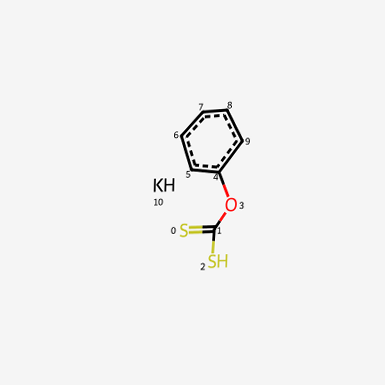 S=C(S)Oc1ccccc1.[KH]